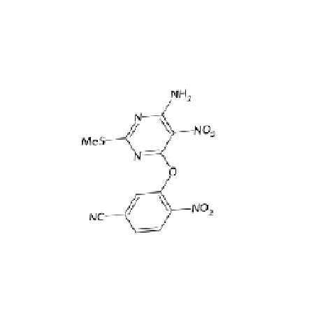 CSc1nc(N)c([N+](=O)[O-])c(Oc2cc(C#N)ccc2[N+](=O)[O-])n1